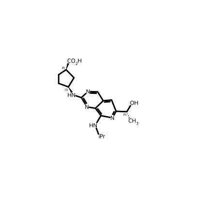 CC(C)Nc1nc([C@@H](C)O)cc2cnc(N[C@H]3CC[C@@H](C(=O)O)C3)nc12